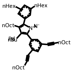 CCCCCCCCC#Cc1cc(C#CCCCCCCCC)cc(C2=C(CCCC)C(CCCCCCCC)=C(c3cc(CCCCCC)cc(CCCCCC)c3)[N+]2=[N-])c1.[Pd]